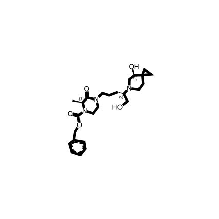 C[C@H]1C(=O)N(CCC[C@@H](CO)N2CCC3(CC3)[C@H](O)C2)CCN1C(=O)OCc1ccccc1